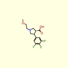 COCCN1CC(c2cc(F)c(F)c(F)c2)[C@H](C(=O)O)C1